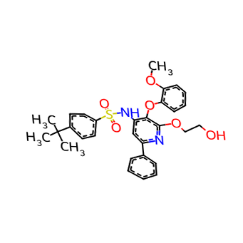 COc1ccccc1Oc1c(NS(=O)(=O)c2ccc(C(C)(C)C)cc2)cc(-c2ccccc2)nc1OCCO